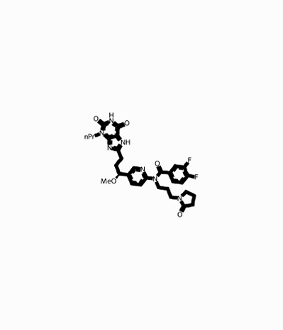 CCCn1c(=O)[nH]c(=O)c2[nH]c(CC[C@H](OC)c3ccc(N(CCCN4CCCC4=O)C(=O)c4ccc(F)c(F)c4)nc3)nc21